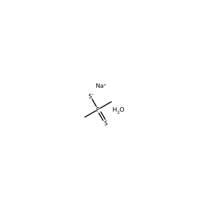 CP(C)(=S)[S-].O.[Na+]